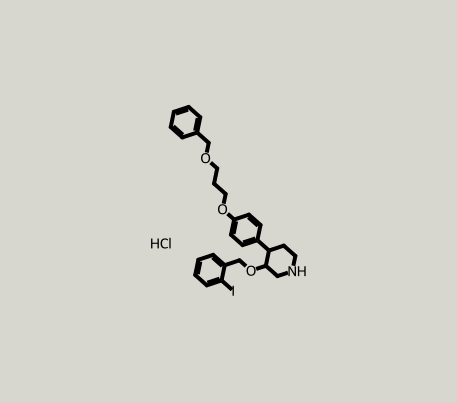 Cl.Ic1ccccc1COC1CNCCC1c1ccc(OCCCOCc2ccccc2)cc1